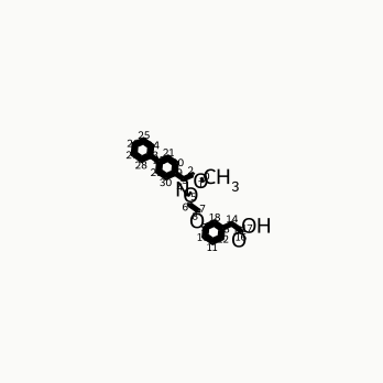 COCC(=NOCCOc1cccc(CC(=O)O)c1)c1ccc(-c2ccccc2)cc1